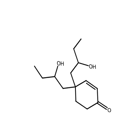 CCC(O)CC1(CC(O)CC)C=CC(=O)CC1